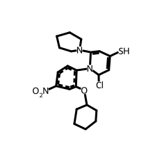 O=[N+]([O-])c1ccc(N2C(N3CCCCC3)=CC(S)=CC2Cl)c(OC2CCCCC2)c1